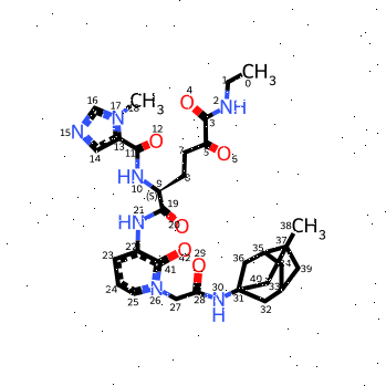 CCNC(=O)C(=O)CC[C@H](NC(=O)c1cncn1C)C(=O)Nc1cccn(CC(=O)NC23CC4CC(C2)C(C)(C4)C3)c1=O